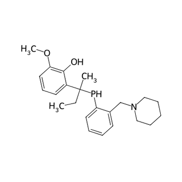 CCC(C)(Pc1ccccc1CN1CCCCC1)c1cccc(OC)c1O